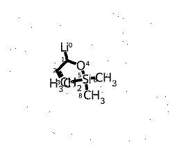 [Li][CH](C=C)O[Si](C)(C)C